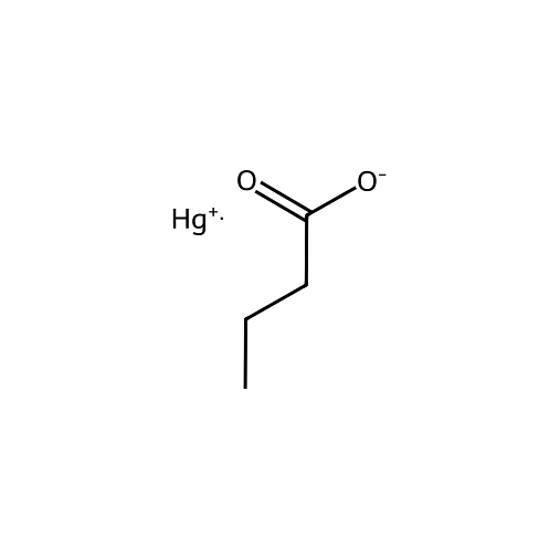 CCCC(=O)[O-].[Hg+]